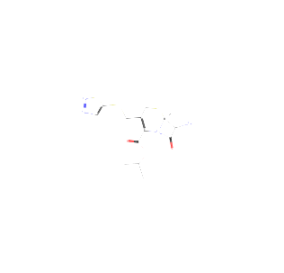 CC(C)OC(=O)C1=C(CSc2cnns2)CS[C@@H]2C(N)C(=O)N12